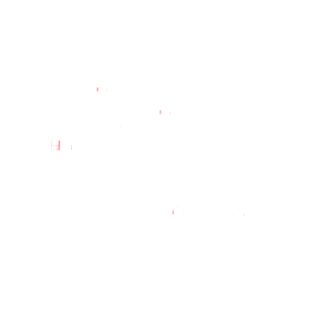 CC1(C)COC(=O)c2ccccc2OC(=O)C1O